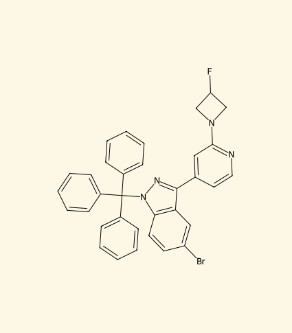 FC1CN(c2cc(-c3nn(C(c4ccccc4)(c4ccccc4)c4ccccc4)c4ccc(Br)cc34)ccn2)C1